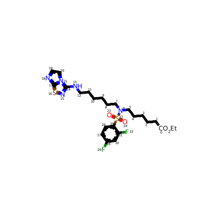 CCOC(=O)CCCCCN(CCCCCCNc1nsc2nccn12)S(=O)(=O)c1ccc(F)cc1F